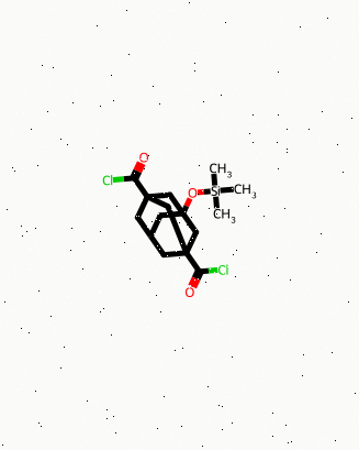 C[Si](C)(C)OC12CC3CC(C(=O)Cl)(C1)CC(C(=O)Cl)(C3)C2